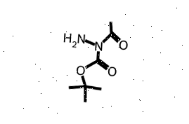 CC(=O)N(N)C(=O)OC(C)(C)C